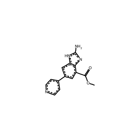 COC(=O)c1cc(-c2ccncc2)cc2[nH]c(N)nc12